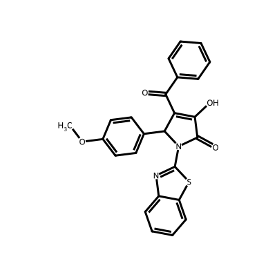 COc1ccc(C2C(C(=O)c3ccccc3)=C(O)C(=O)N2c2nc3ccccc3s2)cc1